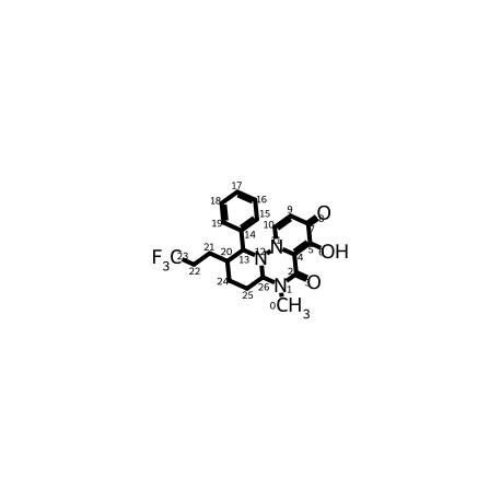 CN1C(=O)c2c(O)c(=O)ccn2N2C(c3ccccc3)C(CCC(F)(F)F)CCC12